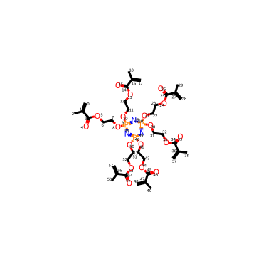 C=C(C)C(=O)OCCOP1(OCCOC(=O)C(=C)C)=NP(OCCOC(=O)C(=C)C)(OCCOC(=O)C(=C)C)=NP(OCCOC(=O)C(=C)C)(OCCOC(=O)C(=C)C)=N1